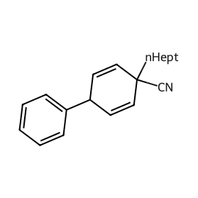 CCCCCCCC1(C#N)C=CC(c2ccccc2)C=C1